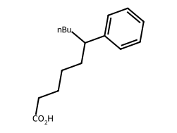 CCCCC(CCCCC(=O)O)c1ccccc1